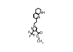 CCOC(=O)c1cn(CCc2ccc3c(n2)NCCC3)nc1C(F)(F)F